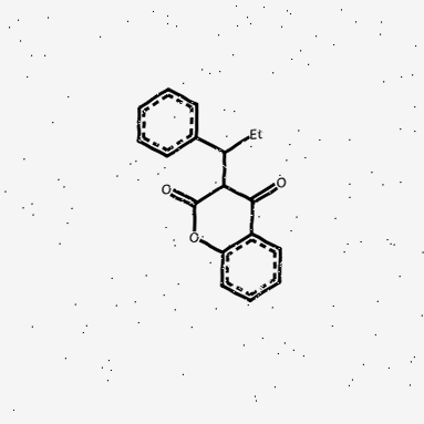 CCC(c1ccccc1)C1C(=O)Oc2ccccc2C1=O